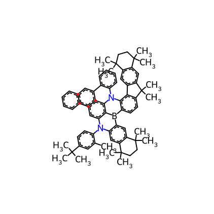 Cc1cc(C(C)(C)C)ccc1N1c2cc3c(cc2B2c4ccc5c(c4N(c4ccccc4-c4ccccc4)c4cc(-c6ccccc6)cc1c42)-c1cc2c(cc1C5(C)C)C(C)(C)CCC2(C)C)C(C)(C)CCC3(C)C